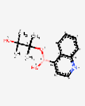 CC(C)(O)C(C)(C)OB(O)c1ccnc2ccccc12